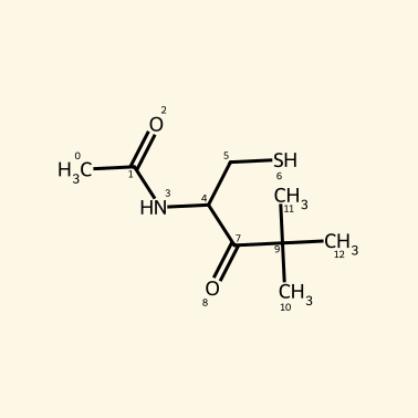 CC(=O)NC(CS)C(=O)C(C)(C)C